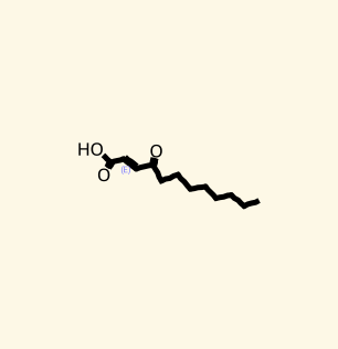 CCCCCCCCC(=O)/C=C/C(=O)O